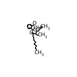 CCCCCCCCCC(OC(=O)c1ccccc1C(=O)O)C(CC)CCCCC